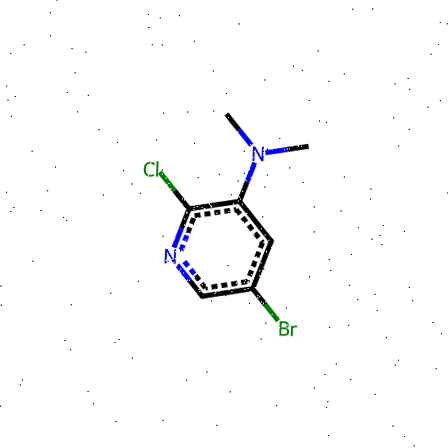 CN(C)c1cc(Br)cnc1Cl